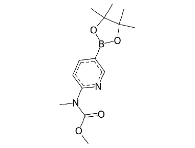 COC(=O)N(C)c1ccc(B2OC(C)(C)C(C)(C)O2)cn1